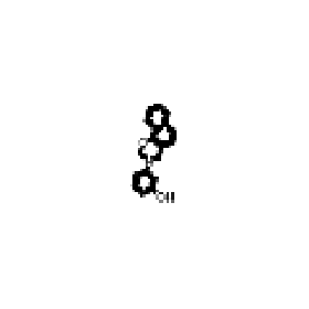 Oc1cccc(N2COc3c(ccc4ccccc34)C2)c1